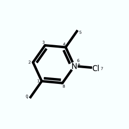 [CH2]c1ccc(C)[n+](Cl)c1